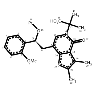 COc1ccccc1[C@H](Cc1cn(C(C)(C)C(=O)O)c(=O)c2c(C)c(C)sc12)OC(C)C